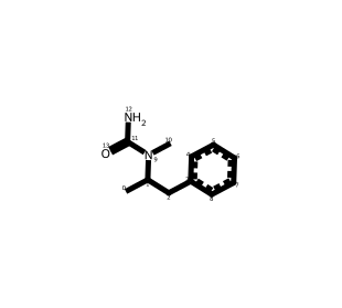 CC(Cc1ccccc1)N(C)C(N)=O